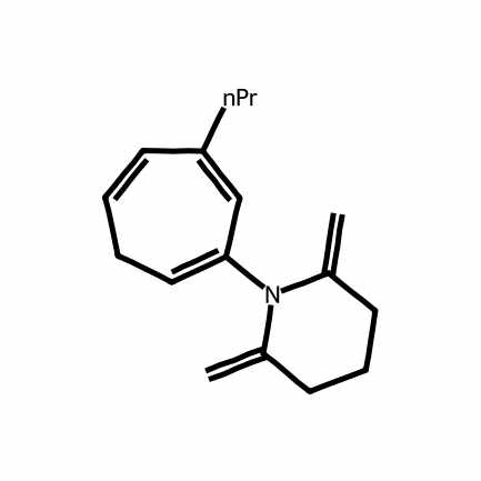 C=C1CCCC(=C)N1C1=CCC=CC(CCC)=C1